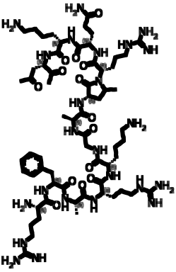 CC(=O)C[C@H](NC(=O)[C@H](CCCCN)NC(=O)[C@H](CCC(N)=O)NC(=O)[C@H](CCCNC(=N)N)N1C(=O)[C@@H](NC(=O)[C@H](C)NC(=O)CNC(=O)[C@H](CCCCN)NC(=O)[C@H](CCCNC(=N)N)NC(=O)[C@H](C)NC(=O)[C@H](Cc2ccccc2)NC(=O)[C@@H](N)CCCNC(=N)N)CC1C)C(C)=O